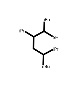 CCCCC(CC(C(C)C)C(S)C(C)CC)C(C)C